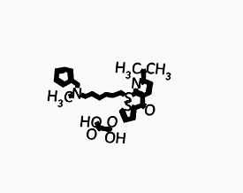 CC(C)c1ccc(C(=O)c2cccs2)c(SCCCCCCN(C)Cc2ccccc2)n1.O=C(O)C(=O)O